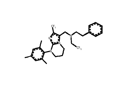 Cc1cc(C)c(N2CCCn3c2nc(C(F)(F)F)c3CN(CCc2ccccc2)CC(F)(F)F)c(C)c1